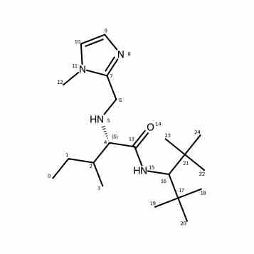 CCC(C)[C@H](NCc1nccn1C)C(=O)NC(C(C)(C)C)C(C)(C)C